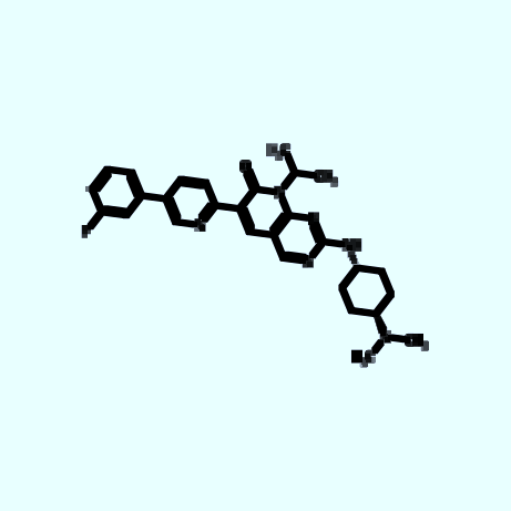 CC(C)n1c(=O)c(-c2ccc(-c3cc[c]c(F)c3)cn2)cc2cnc(N[C@H]3CC[C@H](N(C)C)CC3)nc21